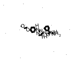 COCCOc1ccc(Nc2ncc(F)c(Nc3ccccc3C(=O)NN)n2)cc1